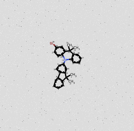 CC1(C)c2ccccc2-c2ccc(N3c4ccccc4C(C)(C)c4cc(Br)ccc43)cc21